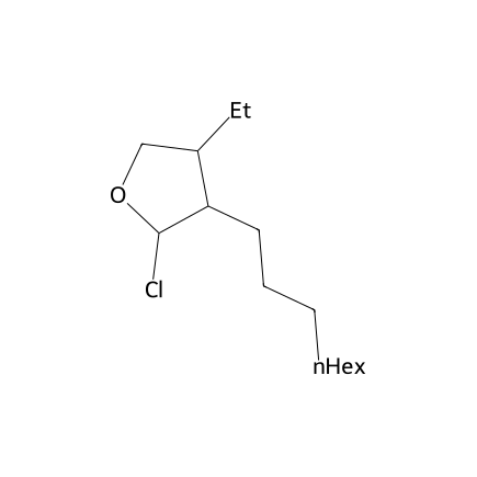 CCCCCCCCCC1C(CC)COC1Cl